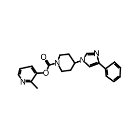 Cc1ncccc1OC(=O)N1CCC(n2cnc(-c3ccccc3)c2)CC1